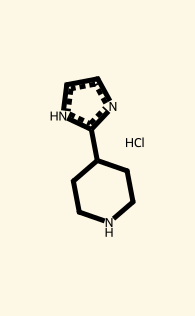 Cl.c1c[nH]c(C2CCNCC2)n1